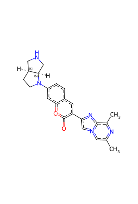 Cc1cn2cc(-c3cc4ccc(N5CC[C@H]6CNC[C@H]65)cc4oc3=O)nc2c(C)n1